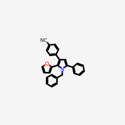 N#Cc1ccc(-c2cc(-c3ccccc3)n(Cc3ccccc3)c2-c2ccco2)cc1